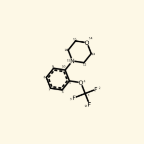 FC(F)(F)Oc1[c]cccc1N1CCOCC1